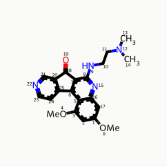 COc1cc(OC)c2c3c(c(NCCN(C)C)nc2c1)C(=O)c1cnccc1-3